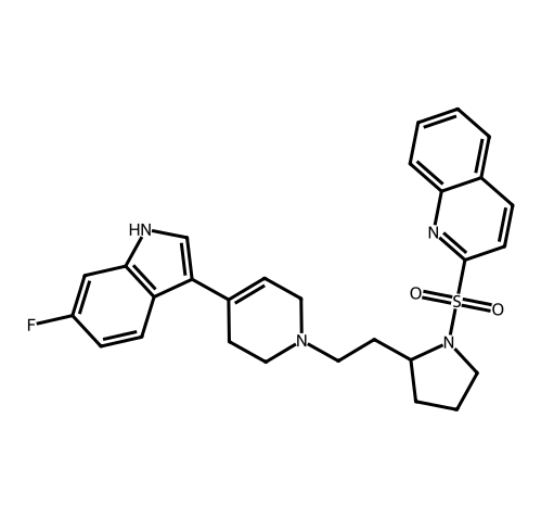 O=S(=O)(c1ccc2ccccc2n1)N1CCCC1CCN1CC=C(c2c[nH]c3cc(F)ccc23)CC1